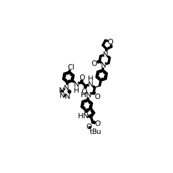 CC(C)(C)OC(=O)c1cc2cc(NC(=O)[C@H](Cc3ccc(N4CCN(C5CCOC5)CC4=O)cc3)NC(=O)C(=O)Nc3cc(Cl)ccc3-n3cnnn3)ccc2[nH]1